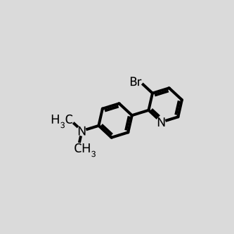 CN(C)c1ccc(-c2ncccc2Br)cc1